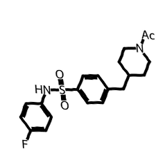 CC(=O)N1CCC(Cc2ccc(S(=O)(=O)Nc3ccc(F)cc3)cc2)CC1